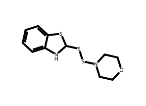 c1ccc2c(c1)NC(SSN1CCOCC1)S2